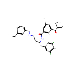 CCc1cccc(CNC[C@@H](O)[C@H](Cc2cc(F)cc(F)c2)NC(=O)c2cc(C)cc(C(=O)C(CC)CC)c2)c1.Cl